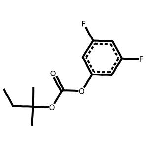 CCC(C)(C)OC(=O)Oc1cc(F)cc(F)c1